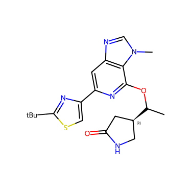 CC(Oc1nc(-c2csc(C(C)(C)C)n2)cc2ncn(C)c12)[C@H]1CNC(=O)C1